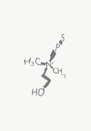 C[N+](C)(C#P=S)CCO